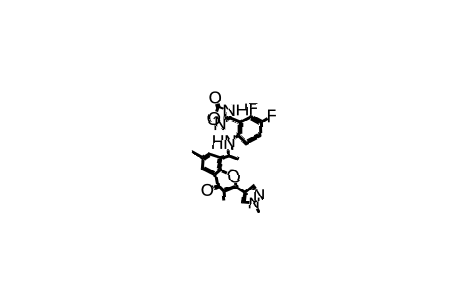 Cc1cc(C(C)Nc2ccc(F)c(F)c2-c2noc(=O)[nH]2)c2oc(-c3cnn(C)c3)c(C)c(=O)c2c1